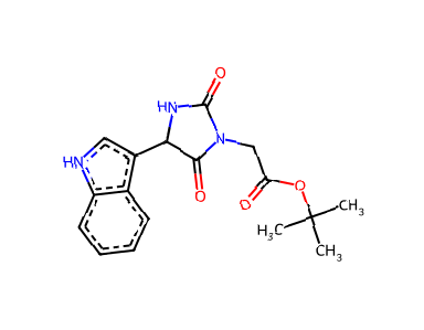 CC(C)(C)OC(=O)CN1C(=O)NC(c2c[nH]c3ccccc23)C1=O